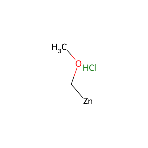 CO[CH2][Zn].Cl